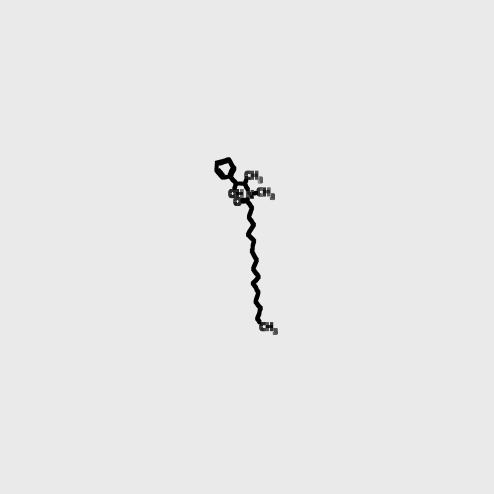 CCCCCCCCCCCCCCCC(=O)N(C)C(C)C(O)c1ccccc1